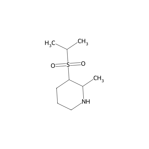 CC1NCCCC1S(=O)(=O)C(C)C